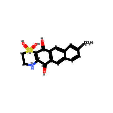 O=C(O)c1ccc2cc3c(cc2c1)C(=O)C1=C(NCCS1(=O)=O)C3=O